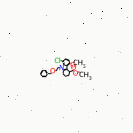 CCOC(=O)C1CCCc2c1c1c(OC)ccc(Cl)c1n2CCOCc1ccccc1